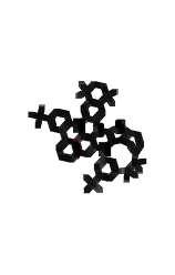 Cc1cc2c3c(c1)N1c4cc(C(C)(C)C)cc(c4)C(C)(C)C(C)(C)c4ccc5sc(c1c5c4)B3c1cc3c(cc1N2c1ccc(C(C)(C)C)cc1-c1ccccc1)C(C)(C)CCC3(C)C